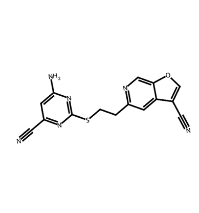 N#Cc1cc(N)nc(SCCc2cc3c(C#N)coc3cn2)n1